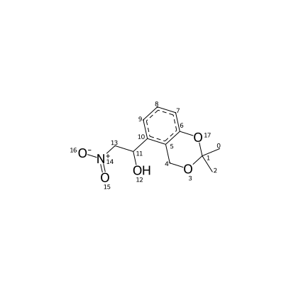 CC1(C)OCc2c(cccc2C(O)C[N+](=O)[O-])O1